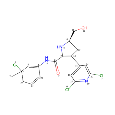 CC1(Cl)C=C(NC(=O)C2N[C@@H](CO)CC2c2cc(Cl)nc(Cl)c2)C=CC1